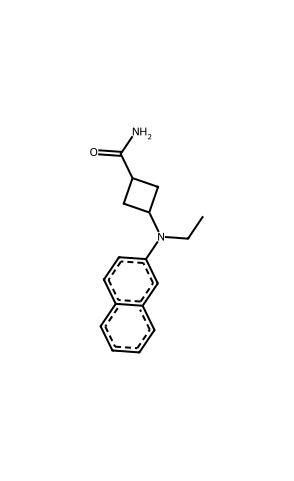 CCN(c1ccc2ccccc2c1)C1CC(C(N)=O)C1